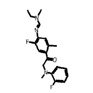 CCN(C)C=Nc1cc(C)c(C(=O)CN(C)c2ccccc2F)cc1F